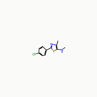 Cc1nc(-c2ccc(Cl)cc2)sc1N(C)C